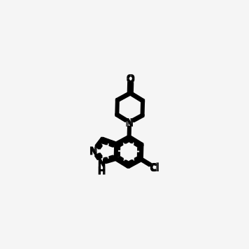 O=C1CCN(c2cc(Cl)cc3[nH]ncc23)CC1